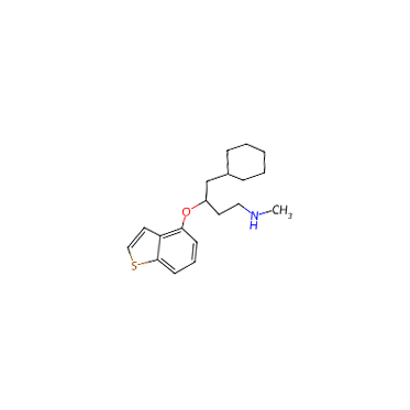 CNCCC(CC1CCCCC1)Oc1cccc2sccc12